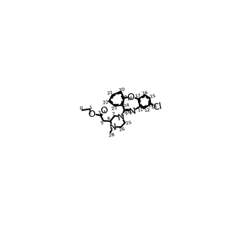 CCOC(=O)CC1CN(C2=Nc3cc(Cl)ccc3Oc3ccccc32)CCN1C